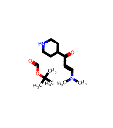 CC(C)(C)OC=O.CN(C)/C=C/C(=O)C1CCNCC1